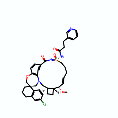 CO[C@H]1/C=C/CCC[S@@](=O)(NC(=O)CCc2cccnc2)=NC(=O)c2ccc3c(c2)N(C[C@@H]2CC[C@H]21)C[C@@]1(CCCc2cc(Cl)ccc21)CO3